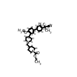 CCOC(=O)N1CCC(CN2CCC(c3cc(-c4ccc(C(C)(C)C#N)cc4)ccc3OC)CC2)CC1